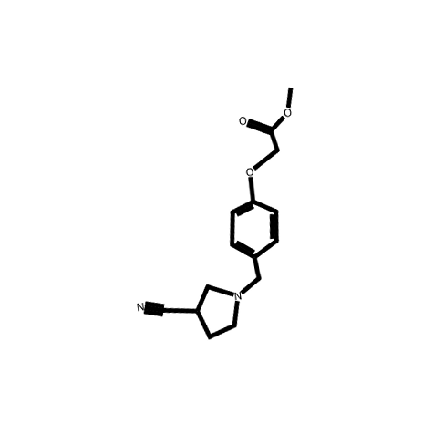 COC(=O)COc1ccc(CN2CCC(C#N)C2)cc1